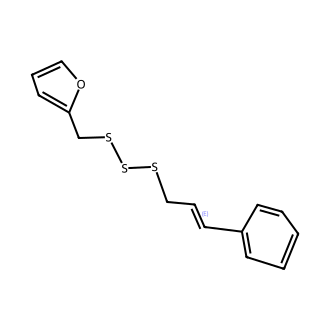 C(=C\c1ccccc1)/CSSSCc1ccco1